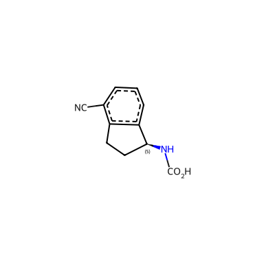 N#Cc1cccc2c1CC[C@@H]2NC(=O)O